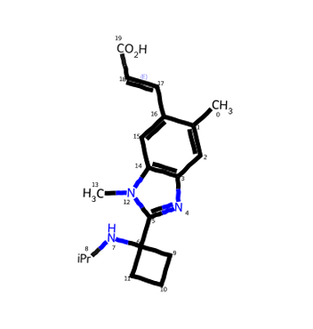 Cc1cc2nc(C3(NC(C)C)CCC3)n(C)c2cc1/C=C/C(=O)O